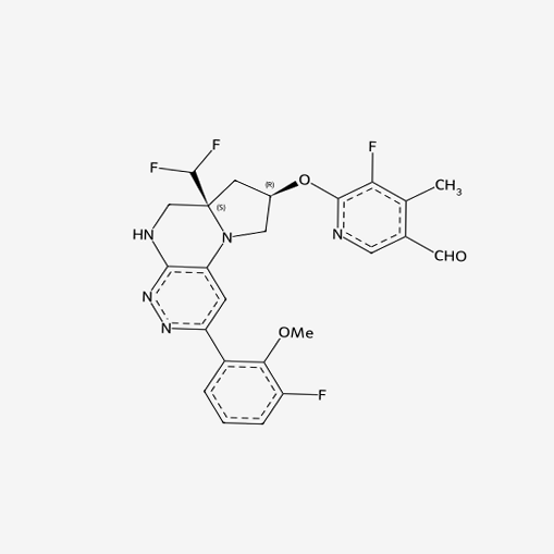 COc1c(F)cccc1-c1cc2c(nn1)NC[C@]1(C(F)F)C[C@@H](Oc3ncc(C=O)c(C)c3F)CN21